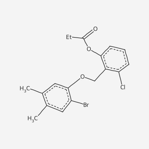 CCC(=O)Oc1cccc(Cl)c1COc1cc(C)c(C)cc1Br